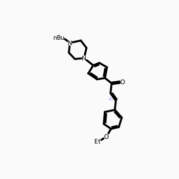 CCCCN1CCN(c2ccc(C(=O)/C=C/c3ccc(OCC)cc3)cc2)CC1